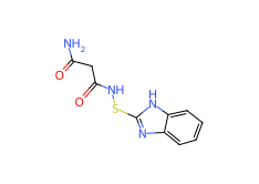 NC(=O)CC(=O)NSc1nc2ccccc2[nH]1